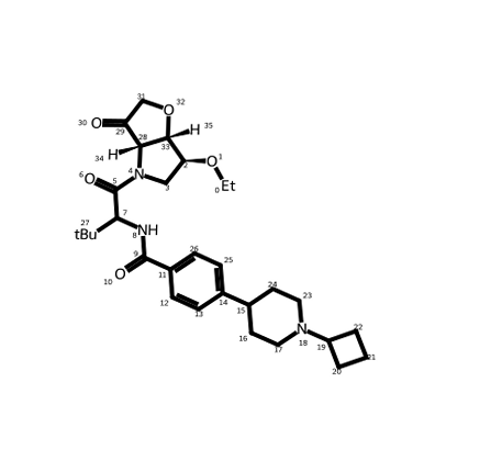 CCO[C@H]1CN(C(=O)C(NC(=O)c2ccc(C3CCN(C4CCC4)CC3)cc2)C(C)(C)C)[C@@H]2C(=O)CO[C@H]12